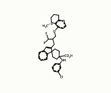 C[C@@H]1CCCc2nccc(OCC(CC3=Cc4ccccc4C34CCC(Nc3cccc(Cl)c3)(C(=O)O)CC4)C(F)F)c21